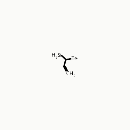 C=CC([SiH3])[Te]